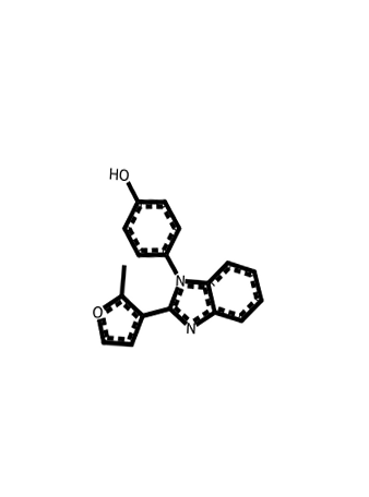 Cc1occc1-c1nc2ccccc2n1-c1ccc(O)cc1